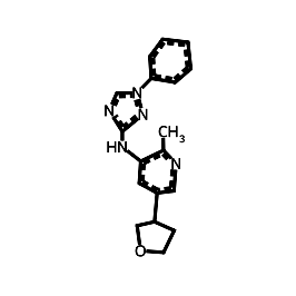 Cc1ncc(C2CCOC2)cc1Nc1ncn(-c2ccccc2)n1